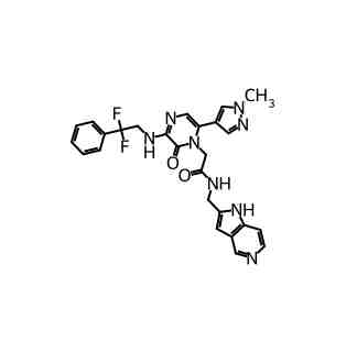 Cn1cc(-c2cnc(NCC(F)(F)c3ccccc3)c(=O)n2CC(=O)NCc2cc3cnccc3[nH]2)cn1